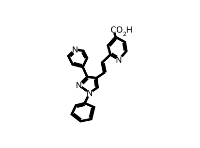 O=C(O)c1ccnc(/C=C/c2cn(-c3ccccc3)nc2-c2ccncc2)c1